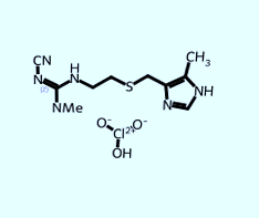 CN/C(=N/C#N)NCCSCc1nc[nH]c1C.[O-][Cl+2]([O-])O